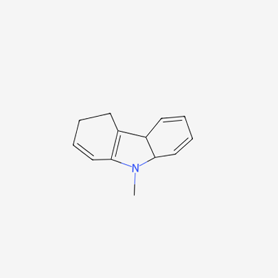 CN1C2=C(CCC=C2)C2C=CC=CC21